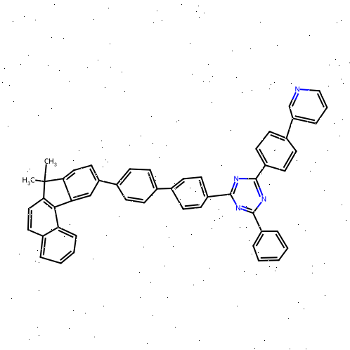 CC1(C)c2ccc(-c3ccc(-c4ccc(-c5nc(-c6ccccc6)nc(-c6ccc(-c7cccnc7)cc6)n5)cc4)cc3)cc2-c2c1ccc1ccccc21